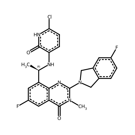 C[C@@H](Nc1ccc(Cl)[nH]c1=O)c1cc(F)cc2c(=O)n(C)c(N3Cc4ccc(F)cc4C3)nc12